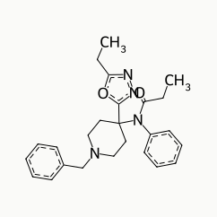 CCC(=O)N(c1ccccc1)C1(c2nnc(CC)o2)CCN(Cc2ccccc2)CC1